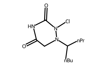 [CH2]CCCC(CCC)N1CC(=O)NC(=O)N1Cl